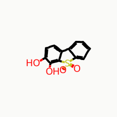 O=S1(=O)c2ccccc2-c2ccc(O)c(O)c21